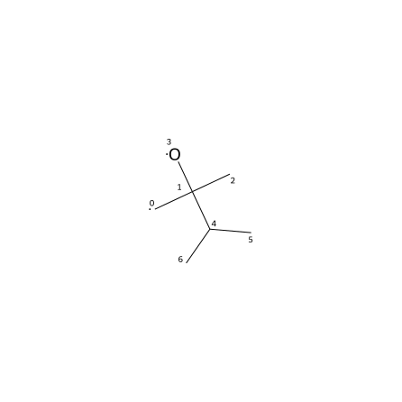 [CH2]C(C)([O])C(C)C